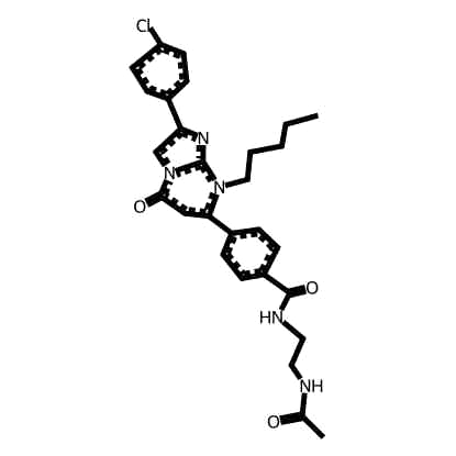 CCCCCn1c(-c2ccc(C(=O)NCCNC(C)=O)cc2)cc(=O)n2cc(-c3ccc(Cl)cc3)nc12